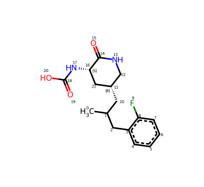 CC(Cc1ccccc1F)C[C@H]1CNC(=O)[C@@H](NC(=O)O)C1